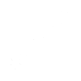 c1ccc(OCCCCOc2ccc(CCC3=NCCN3)cc2)cc1